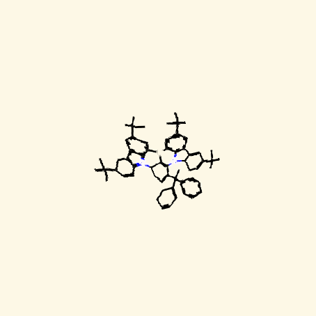 CC(C)(C)C1=CCC2C(=C1)c1cc(C(C)(C)C)cc3c1N2C1=C2B3c3cc(C(C)(C)C)cc4c5c(n(c34)C2CC=C1C(C)(C1=CC=CCC1)c1ccccc1)C=CC(C(C)(C)C)C5